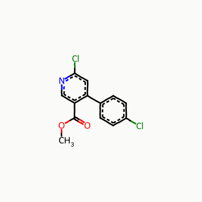 COC(=O)c1cnc(Cl)cc1-c1ccc(Cl)cc1